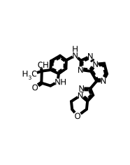 CC1(C)C(=O)CNc2cc(Nc3nc4c(-c5cc6n(n5)CCOC6)nccn4n3)ccc21